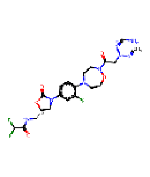 C=NN(CC(=O)N1CCN(c2ccc(N3C[C@H](CNC(=O)C(F)F)OC3=O)cc2F)CCO1)/N=C\N